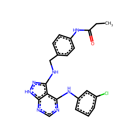 CCC(=O)Nc1ccc(CNc2n[nH]c3ncnc(Nc4cccc(Cl)c4)c23)cc1